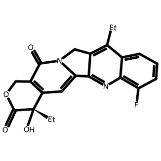 CCc1c2c(nc3c(F)cccc13)-c1cc3c(c(=O)n1C2)COC(=O)[C@]3(O)CC